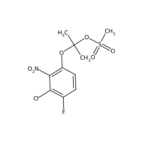 CC(C)(Oc1ccc(F)c(Cl)c1[N+](=O)[O-])OS(C)(=O)=O